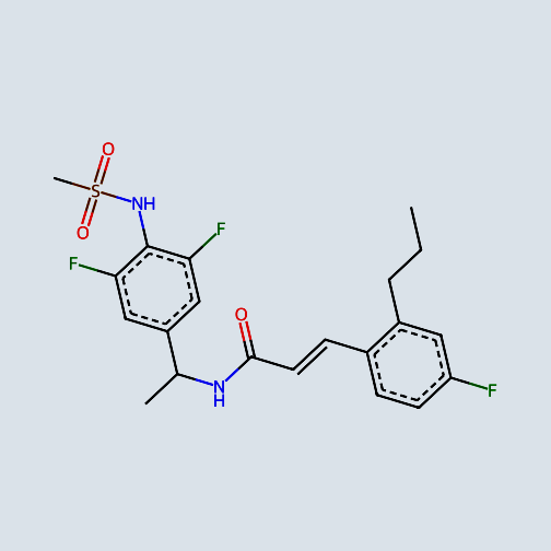 CCCc1cc(F)ccc1/C=C/C(=O)NC(C)c1cc(F)c(NS(C)(=O)=O)c(F)c1